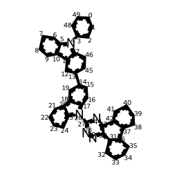 c1ccc(-n2c3ccccc3c3cc(-c4ccc5c(c4)c4ccccc4n5-c4nnc5c6ccccc6c6ccccc6c5n4)ccc32)cc1